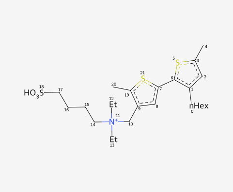 CCCCCCc1cc(C)sc1-c1cc(C[N+](CC)(CC)CCCCS(=O)(=O)O)c(C)s1